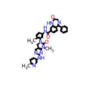 Cc1ccc(Nc2ncc3c(n2)N(C)C(=O)N(c2cc(NC(=O)c4ccc5c(c4)NC(=O)CN=C5c4ccccc4)ccc2C)C3)cn1